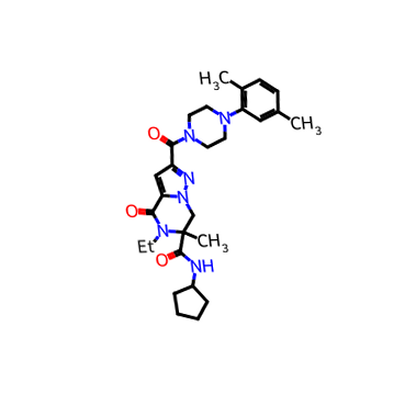 CCN1C(=O)c2cc(C(=O)N3CCN(c4cc(C)ccc4C)CC3)nn2CC1(C)C(=O)NC1CCCC1